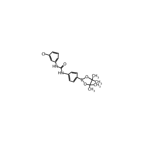 CC1(C)OB(c2ccc(NC(=O)Nc3cccc(Cl)c3)cc2)OC1(C)C